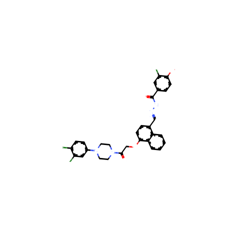 O=C(N/N=C/c1ccc(OCC(=O)N2CCN(c3ccc(Cl)c(Cl)c3)CC2)c2ccccc12)c1ccc(O)c(Cl)c1